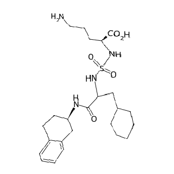 NCCC[C@H](NS(=O)(=O)NC(CC1CCCCC1)C(=O)N[C@@H]1CCc2ccccc2C1)C(=O)O